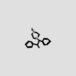 CC(c1ccccc1)C(c1ccccc1)N1CCN(F)CC1